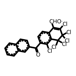 O=[C]C1=C(Cl)C(Cl)(Cl)C(Cl)(Cl)c2c1ccc(C(=O)c1ccc3ccccc3c1)c2Cl